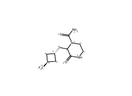 NC(=O)N1CCNC(=O)C1C[C@H]1C[C@H](C(F)(F)F)C1